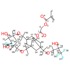 C=C(C)C(=O)OCC(=O)OC12CC3(C(C)(C)OC(C)(C)C(C)(C)O)CC(C(C)(C)OC(C)(C)C(C)(O)C(F)(F)F)(C1)CC(C(C)(C)OC(C)(C)C(C)(O)C(F)(F)F)(C2)C3